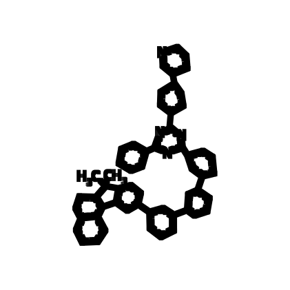 CC1(C)c2ccc(-c3cccc(-c4cccc(-c5cccc(-c6nc(-c7ccccc7)nc(-c7ccc(-c8cccnc8)cc7)n6)c5)c4)c3)cc2-c2c1ccc1ccccc21